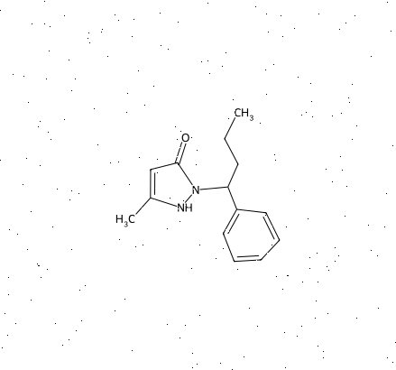 CCCC(c1ccccc1)n1[nH]c(C)cc1=O